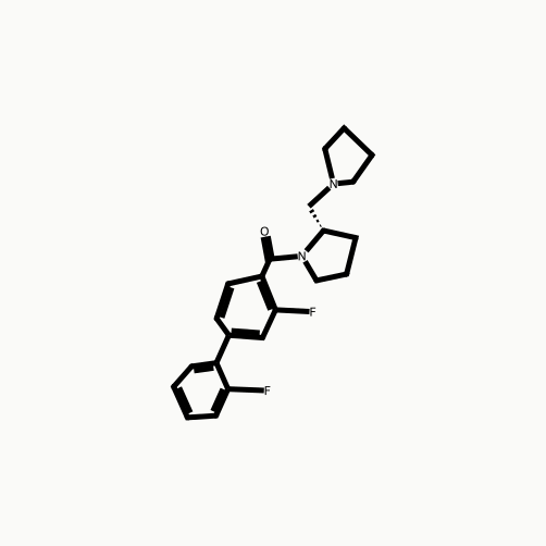 O=C(c1ccc(-c2ccccc2F)cc1F)N1CCC[C@H]1CN1CCCC1